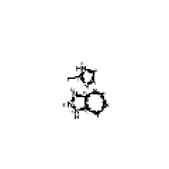 Cc1ncc[nH]1.c1ccc2[nH]nnc2c1